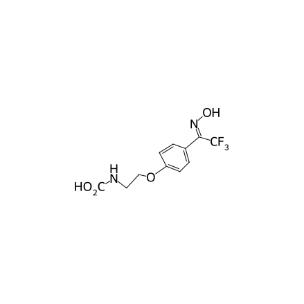 O=C(O)NCCOc1ccc(C(=NO)C(F)(F)F)cc1